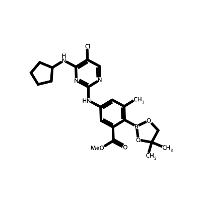 COC(=O)c1cc(Nc2ncc(Cl)c(NC3CCCC3)n2)cc(C)c1B1OCC(C)(C)O1